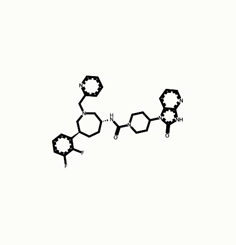 O=C(N[C@@H]1CC[C@@H](c2cccc(F)c2F)CN(Cc2ccccn2)C1)N1CCC(n2c(=O)[nH]c3ncccc32)CC1